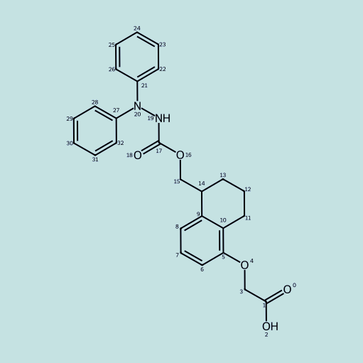 O=C(O)COc1cccc2c1CCCC2COC(=O)NN(c1ccccc1)c1ccccc1